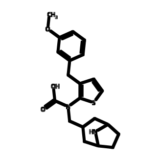 COc1cccc(Cc2ccsc2N(CC2CC3CCC(C2)N3)C(=O)O)c1